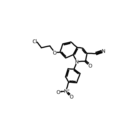 N#Cc1cc2ccc(OCCCl)cc2n(-c2ccc([N+](=O)[O-])cc2)c1=O